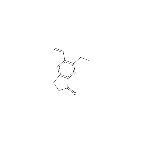 C=Cc1cc2c(cc1CC)C(=O)CC2